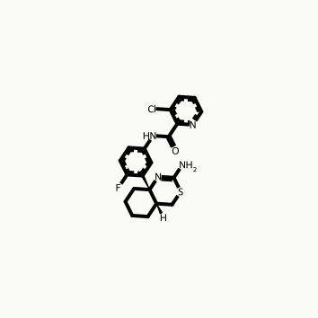 NC1=N[C@@]2(c3cc(NC(=O)c4ncccc4Cl)ccc3F)CCCC[C@H]2CS1